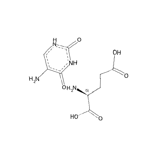 N[C@@H](CCC(=O)O)C(=O)O.Nc1c[nH]c(=O)[nH]c1=O